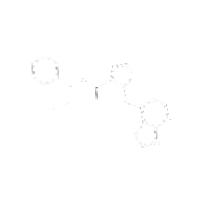 O=C(N[C@H](CO)c1ccccc1)c1ccsc1Nc1ccnc2[nH]ccc12